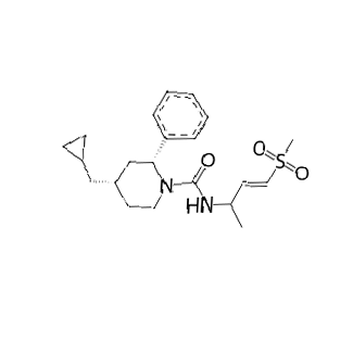 CC(/C=C/S(C)(=O)=O)NC(=O)N1CC[C@H](CC2CC2)C[C@@H]1c1ccccc1